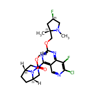 CN1C[C@H](F)C[C@@]1(C)COc1nc(N2C[C@H]3CC[C@@H](C2)N3C(=O)OC(C)(C)C)c2cnc(Cl)c(F)c2n1